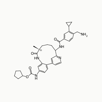 C[C@H]1CCCC(NC(=O)c2ccc(CN)c(C3CC3)c2)c2cc(ccn2)-c2ccc(NC(=O)OC3CCCC3)cc2NC1=O